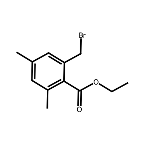 CCOC(=O)c1c(C)cc(C)cc1CBr